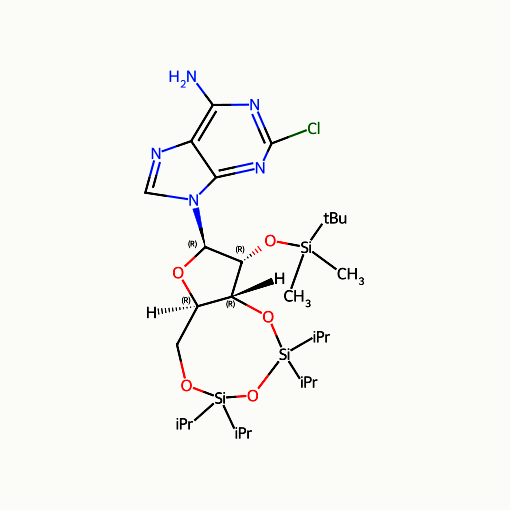 CC(C)[Si]1(C(C)C)OC[C@H]2O[C@@H](n3cnc4c(N)nc(Cl)nc43)[C@H](O[Si](C)(C)C(C)(C)C)[C@@H]2O[Si](C(C)C)(C(C)C)O1